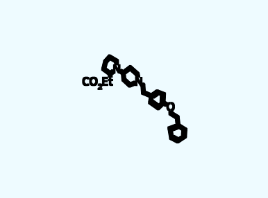 CCOC(=O)C1CCCCN1C1CCN(CCc2ccc(OCCc3ccccc3)cc2)CC1